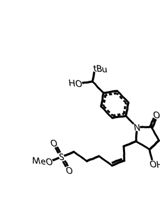 COS(=O)(=O)CCC/C=C\CC1C(O)CC(=O)N1c1ccc(C(O)C(C)(C)C)cc1